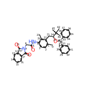 Cc1ccc(NC(=O)CN2C(=O)c3ccccc3C2=O)c(C)c1CC(O[SiH](c1ccccc1)c1ccccc1)C(C)(C)C